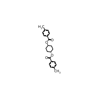 Cc1ccc(C(=O)O[C@H]2CC[C@H](OC(=O)c3ccc(C)cc3)CC2)cc1